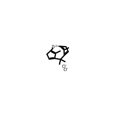 CC1=[C]2CC=C1C(C)(C)C1=CC[C](=C1C)[Zr+2]2.[Cl-].[Cl-]